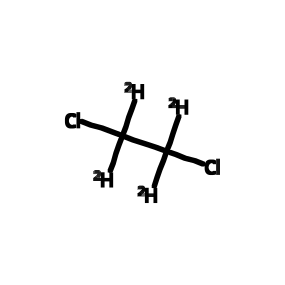 [2H]C([2H])(Cl)C([2H])([2H])Cl